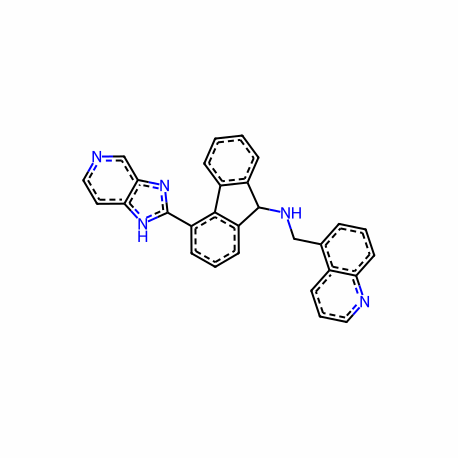 c1ccc2c(c1)-c1c(-c3nc4cnccc4[nH]3)cccc1C2NCc1cccc2ncccc12